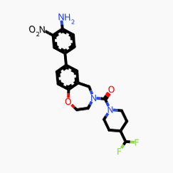 Nc1ccc(-c2ccc3c(c2)CN(C(=O)N2CCC(C(F)F)CC2)CCO3)cc1[N+](=O)[O-]